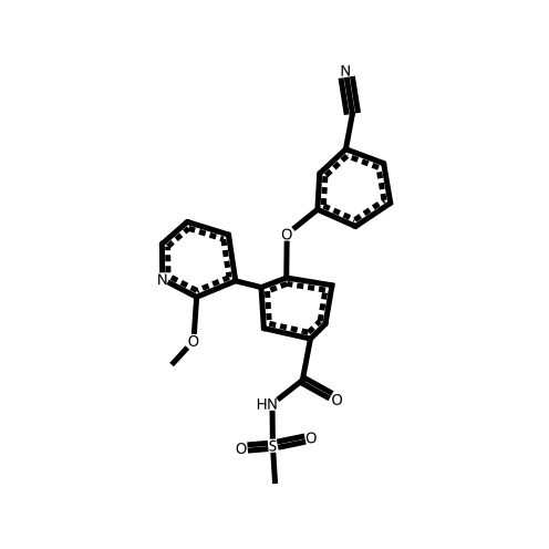 COc1ncccc1-c1cc(C(=O)NS(C)(=O)=O)ccc1Oc1cccc(C#N)c1